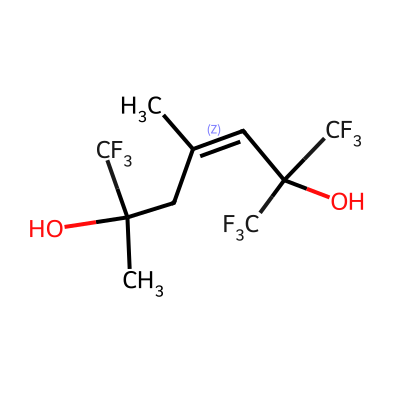 C/C(=C/C(O)(C(F)(F)F)C(F)(F)F)CC(C)(O)C(F)(F)F